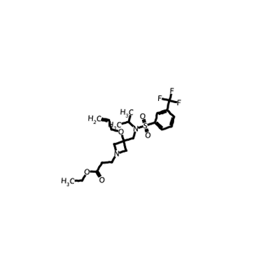 C=CCOC1(CN(C(C)C)S(=O)(=O)c2cccc(C(F)(F)F)c2)CN(CCC(=O)OCC)C1